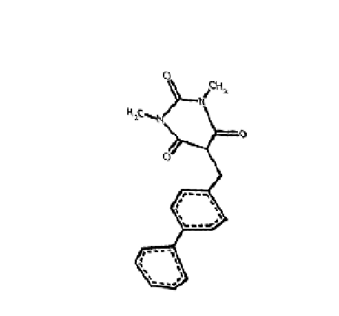 CN1C(=O)C(Cc2ccc(-c3ccccc3)cc2)C(=O)N(C)C1=O